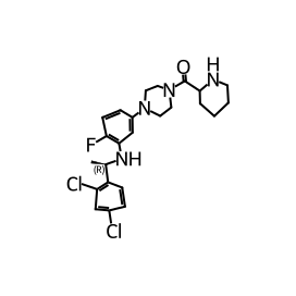 C[C@@H](Nc1cc(N2CCN(C(=O)C3CCCCN3)CC2)ccc1F)c1ccc(Cl)cc1Cl